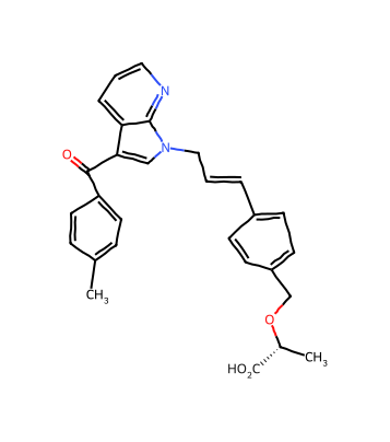 Cc1ccc(C(=O)c2cn(C/C=C/c3ccc(CO[C@H](C)C(=O)O)cc3)c3ncccc23)cc1